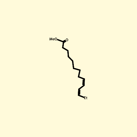 CC/C=C\C=C/CCCCCCCC(=O)OC